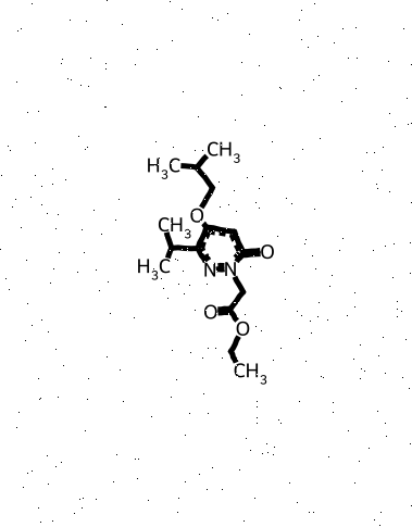 CCOC(=O)Cn1nc(C(C)C)c(OCC(C)C)cc1=O